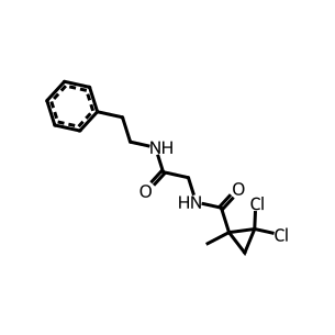 CC1(C(=O)NCC(=O)NCCc2ccccc2)CC1(Cl)Cl